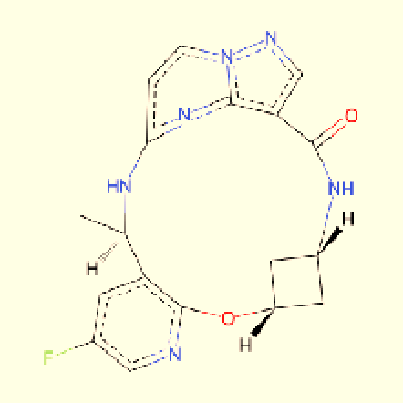 C[C@H]1Nc2ccn3ncc(c3n2)C(=O)N[C@H]2C[C@H](C2)Oc2ncc(F)cc21